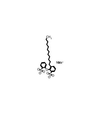 CCCCCCCCCCCCc1cccc(S(=O)(=O)[O-])c1Oc1ccccc1S(=O)(=O)[O-].[Na+].[Na+]